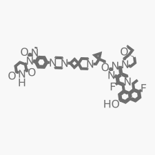 CCc1c(F)ccc2cc(O)cc(-c3ncc4c(N5CCC[C@]6(CCO6)C5)nc(OCC5(CN6CCC7(CC6)CC(N6CCN(c8ccc9c(c8)n(C)c(=O)n9C8CCC(=O)NC8=O)CC6)C7)CC5)nc4c3F)c12